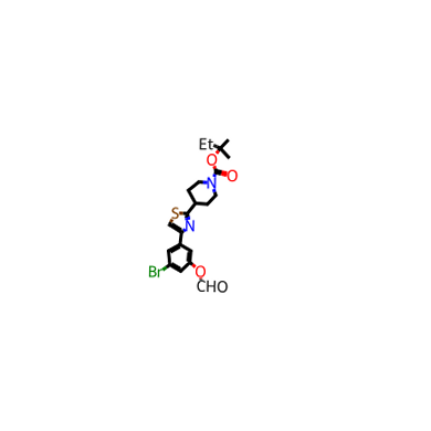 CCC(C)(C)OC(=O)N1CCC(c2nc(-c3cc(Br)cc(OC=O)c3)cs2)CC1